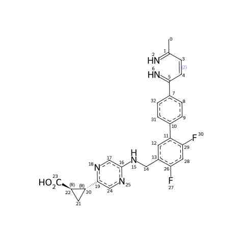 CC(=N)/C=C\C(=N)c1ccc(-c2cc(CNc3cnc([C@@H]4C[C@H]4C(=O)O)cn3)c(F)cc2F)cc1